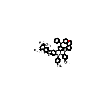 Cc1ccc(N2B3c4cc(C)ccc4-n4c5ccc6ccccc6c5c5c(C(c6ccccc6)c6ccccc6)cc(c3c54)-c3cc4c(cc32)sc2cc3c(cc24)C(C)(C)CCC3(C)C)cc1